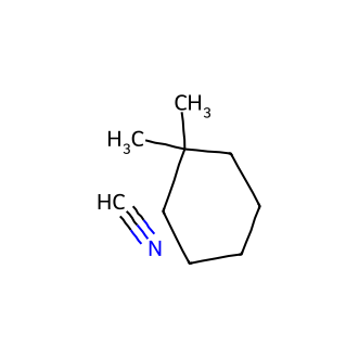 C#N.CC1(C)CCCCC1